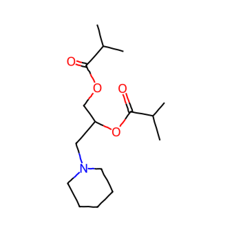 CC(C)C(=O)OCC(CN1CCCCC1)OC(=O)C(C)C